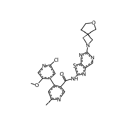 COc1cnc(Cl)cc1-c1cc(C)ncc1C(=O)Nc1nc2cnc(N3CC4(CCOC4)C3)nc2s1